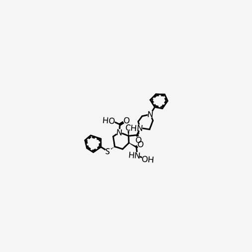 C[C@@]1(C(=O)N2CCN(c3ccccc3)CC2)[C@@H](C(=O)NO)C[C@H](Sc2ccccc2)CN1C(=O)O